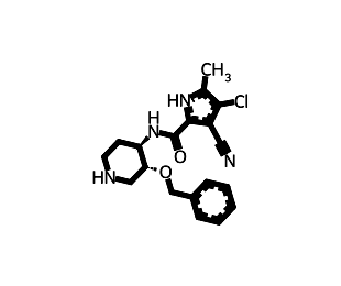 Cc1[nH]c(C(=O)N[C@@H]2CCNC[C@H]2OCc2ccccc2)c(C#N)c1Cl